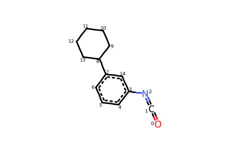 O=C=Nc1cccc(C2CCCCC2)c1